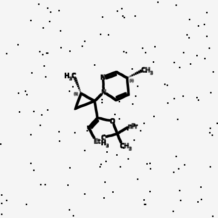 CCC=C(OC(C)(C)CCC)C1(N2C=C[C@@H](C)C=N2)C[C@@H]1C